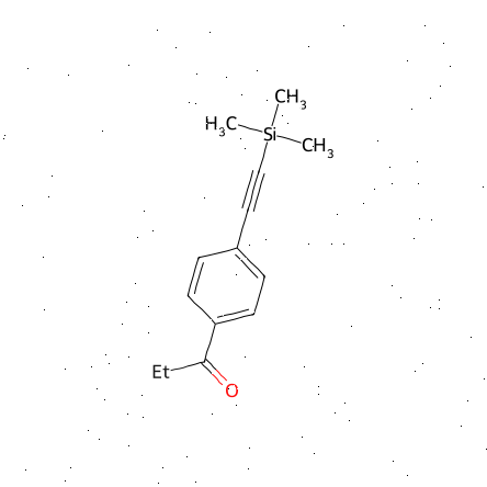 CCC(=O)c1ccc(C#C[Si](C)(C)C)cc1